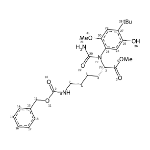 COC(=O)[C@H](CCCCNC(=O)OCc1ccccc1)N(C(N)=O)c1cc(O)c(C(C)(C)C)cc1OC